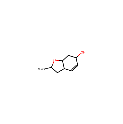 COC1CC2C=CC(O)CC2O1